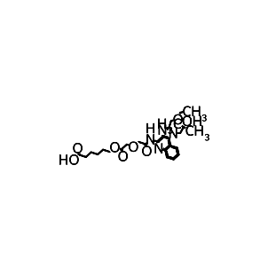 CCOCc1nc2c(NC(=O)COCC(=O)OCCCCCC(=O)O)nc3ccccc3c2n1CC(C)(C)O